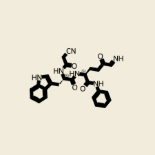 N#CCC(=O)N[C@@H](Cc1c[nH]c2ccccc12)C(=O)N[C@@H](CCC(=O)C=N)C(=O)Nc1ccccc1